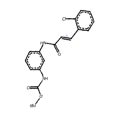 CC(C)(C)OC(=O)Nc1cccc(NC(=O)/C=C/c2ccccc2Cl)c1